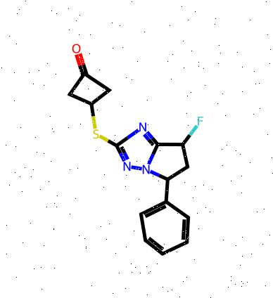 O=C1CC(Sc2nc3n(n2)C(c2ccccc2)CC3F)C1